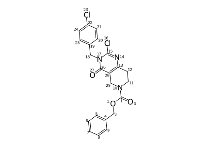 O=C(OCc1ccccc1)N1CCc2nc(Cl)n(Cc3ccc(Cl)cc3)c(=O)c2C1